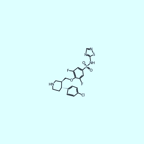 O=S(=O)(Nc1ncns1)c1cc(F)c(OC[C@@H]2CNCC[C@H]2c2ccc(Cl)cc2)c(F)c1